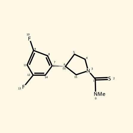 CNC(=S)N1CC[C@@H](c2cc(F)cc(F)c2)C1